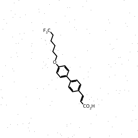 O=C(O)C=Cc1ccc(-c2ccc(OCCCCCC(F)(F)F)cc2)cc1